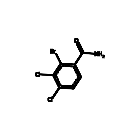 NC(=O)c1ccc(Cl)c(Cl)c1Br